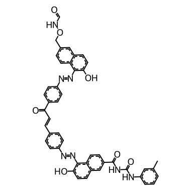 Cc1cccc(NC(=O)NC(=O)c2ccc3c(N=Nc4ccc(C=CC(=O)c5ccc(N=Nc6c(O)ccc7cc(CONC=O)ccc67)cc5)cc4)c(O)ccc3c2)c1